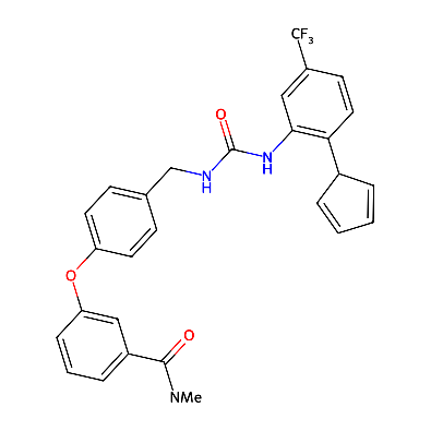 CNC(=O)c1cccc(Oc2ccc(CNC(=O)Nc3cc(C(F)(F)F)ccc3C3C=CC=C3)cc2)c1